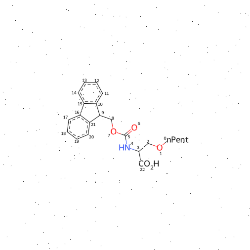 CCCCCOCC(NC(=O)OCC1c2ccccc2-c2ccccc21)C(=O)O